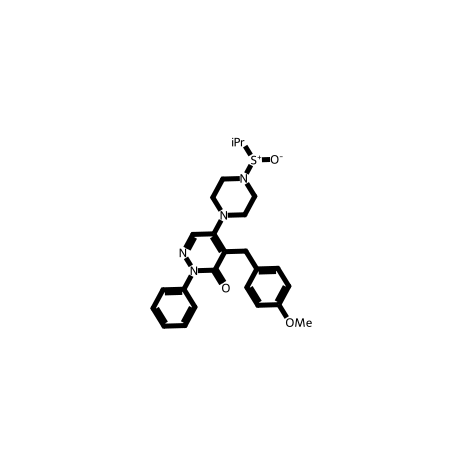 COc1ccc(Cc2c(N3CCN([S+]([O-])C(C)C)CC3)cnn(-c3ccccc3)c2=O)cc1